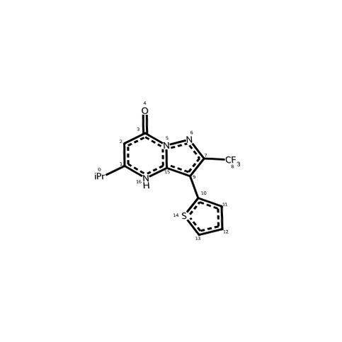 CC(C)c1cc(=O)n2nc(C(F)(F)F)c(-c3cccs3)c2[nH]1